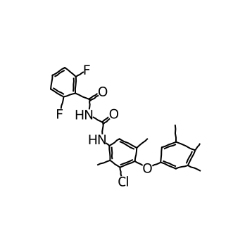 Cc1cc(Oc2c(C)cc(NC(=O)NC(=O)c3c(F)cccc3F)c(C)c2Cl)cc(C)c1C